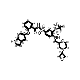 O=C(NS(=O)(=O)c1ccc(NCC2CN(C3COC3)CCO2)c(S(=O)(=O)C(F)(F)F)c1)c1ccccc1Oc1cnc2[nH]ccc2c1